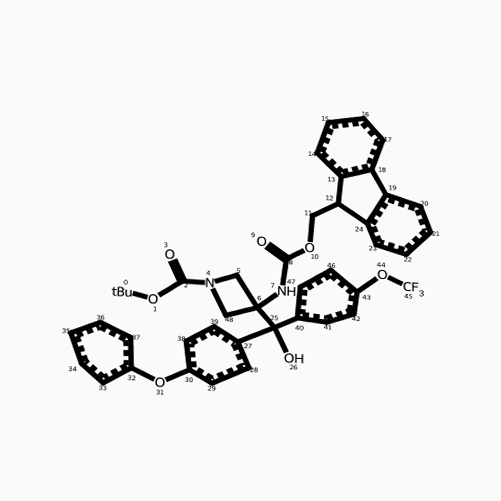 CC(C)(C)OC(=O)N1CC(NC(=O)OCC2c3ccccc3-c3ccccc32)(C(O)(c2ccc(Oc3ccccc3)cc2)c2ccc(OC(F)(F)F)cc2)C1